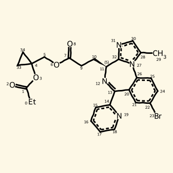 CCC(=O)OC1(COC(=O)CC[C@@H]2N=C(c3ccccn3)c3cc(Br)ccc3-n3c(C)cnc32)CC1